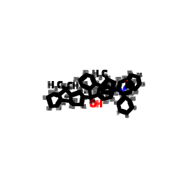 Cc1cc(N(c2ccccc2)c2ccccc2)ccc1-c1ccccc1C(O)(c1ccc(-c2ccccc2)cc1)c1ccc2c(c1)C(C)(C)c1ccccc1-2